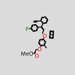 C#Cc1ccccc1C(=CCOc1ccc(OCC(=O)OC)c(C)c1)c1ccc(F)cc1.c1cc2ccc1-2